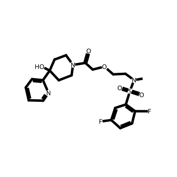 CN(CCOCC(=O)N1CCC(O)(c2ccccn2)CC1)S(=O)(=O)c1cc(F)ccc1F